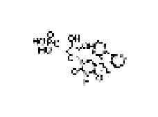 COC1(c2cn([C@@H]3O[C@H](COP(=O)(O)O)[C@@H](O)[C@H]3O)c(=O)[nH]c2=O)c2ccccc2-c2ccccc21